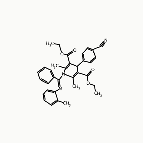 CCOC(=O)C1=C(C)N(C(=Nc2ccccc2C)c2ccccc2)C(C)=C(C(=O)OCC)C1c1ccc(C#N)cc1